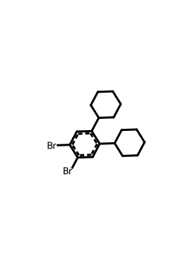 Brc1cc(C2CCCCC2)c(C2CCCCC2)cc1Br